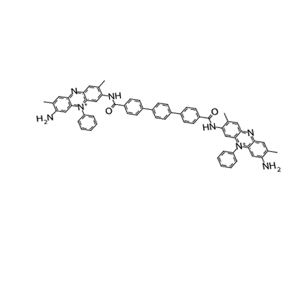 Cc1cc2nc3cc(C)c(NC(=O)c4ccc(-c5ccc(-c6ccc(C(=O)Nc7cc8c(cc7C)nc7cc(C)c(N)cc7[n+]8-c7ccccc7)cc6)cc5)cc4)cc3[n+](-c3ccccc3)c2cc1N